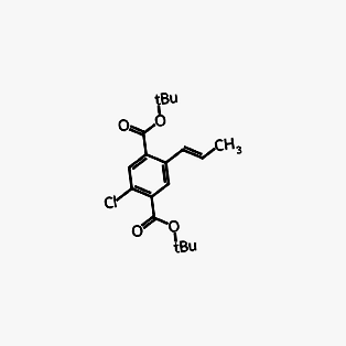 CC=Cc1cc(C(=O)OC(C)(C)C)c(Cl)cc1C(=O)OC(C)(C)C